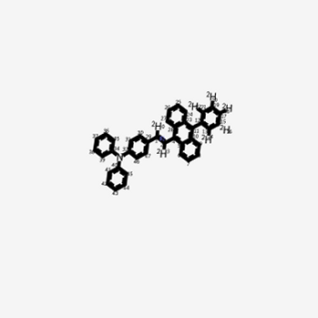 [2H]/C(=C(/[2H])c1c2ccccc2c(-c2c([2H])c([2H])c([2H])c([2H])c2[2H])c2ccccc12)c1ccc(N(c2ccccc2)c2ccccc2)cc1